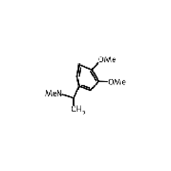 CNC(C)c1ccc(OC)c(OC)c1